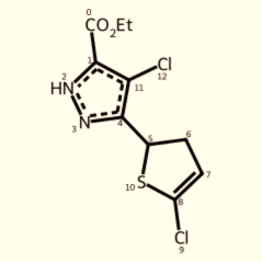 CCOC(=O)c1[nH]nc(C2CC=C(Cl)S2)c1Cl